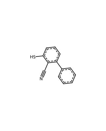 N#Cc1c(S)cccc1-c1ccccc1